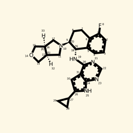 Fc1cccc2c1CC[C@H](N1C[C@H]3COC[C@H]3C1)[C@H]2Nc1ncnc2[nH]c(C3CC3)cc12